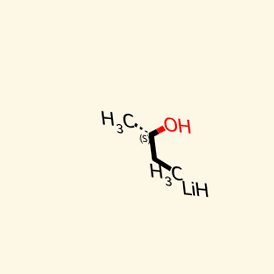 CC[C@H](C)O.[LiH]